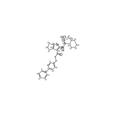 O=C(CCc1ccc(-c2ccccc2)cc1)c1c(NC(=O)C2CCCCC2C(=O)O)sc2c1CCC2